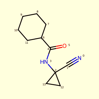 N#CC1(NC(=O)[C]2CCCCC2)CC1